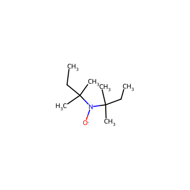 CCC(C)(C)N([O])C(C)(C)CC